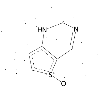 [O-][s+]1ccc2c1C=N[C]N2